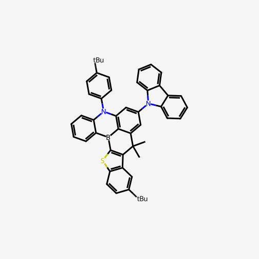 CC(C)(C)c1ccc(N2c3ccccc3B3c4sc5ccc(C(C)(C)C)cc5c4C(C)(C)c4cc(-n5c6ccccc6c6ccccc65)cc2c43)cc1